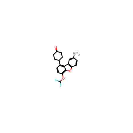 O=C1CCC(c2ccc(OC(F)F)c3oc4ccc([N+](=O)[O-])cc4c23)CC1